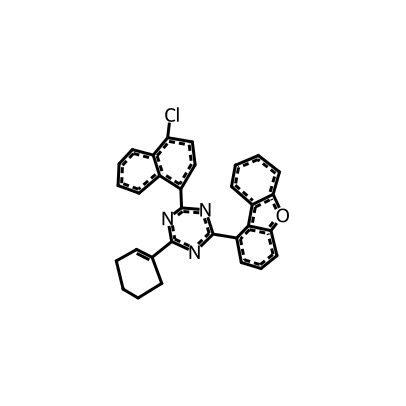 Clc1ccc(-c2nc(C3=CCCCC3)nc(-c3cccc4oc5ccccc5c34)n2)c2ccccc12